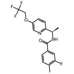 Cc1ccc(C(=O)N[C@H](C)c2ccc(OCC(F)(F)F)cn2)cc1F